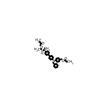 C=CC(=O)COC(C)NN(C)c1ccc(-c2ccc(N(Cc3ccccc3)c3ccc(COC(=O)C=C)cc3)cc2)cc1